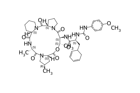 COc1ccc(NC(=O)N[C@@H](CC2C=CC=CC2)C(=O)N[C@@H]2C(=O)N3CCC[C@H]3C(=O)N3CCCC[C@H]3C(=O)N[C@@H](C)C(=O)N3C[C@H](C)C[C@H]3C(=O)O[C@H]2C)cc1